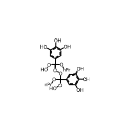 CCCOC(OO)(OOC(OO)(OCCC)c1cc(O)c(O)c(O)c1)c1cc(O)c(O)c(O)c1